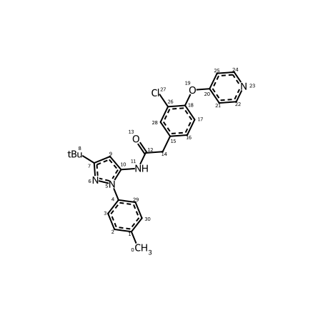 Cc1ccc(-n2nc(C(C)(C)C)cc2NC(=O)Cc2ccc(Oc3ccncc3)c(Cl)c2)cc1